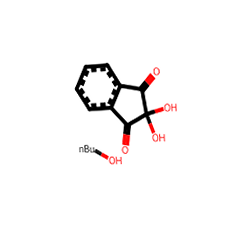 CCCCO.O=C1c2ccccc2C(=O)C1(O)O